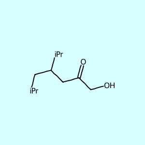 CC(C)CC(CC(=O)CO)C(C)C